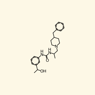 CC(CN1CCC(Cc2ccccc2)CC1)NC(=O)Nc1cccc(C(C)O)c1